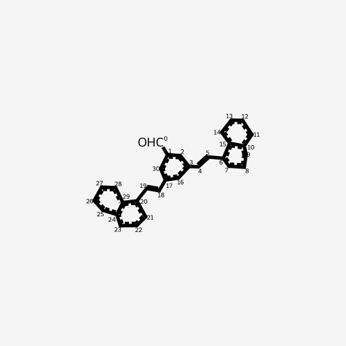 O=Cc1cc(C=Cc2cccc3ccccc23)cc(C=Cc2cccc3ccccc23)c1